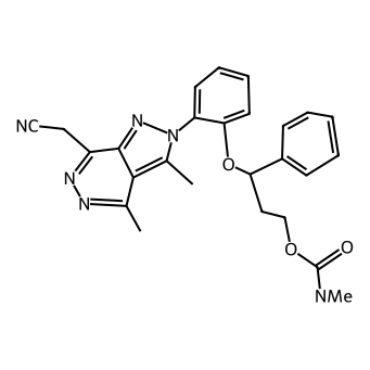 CNC(=O)OCCC(Oc1ccccc1-n1nc2c(CC#N)nnc(C)c2c1C)c1ccccc1